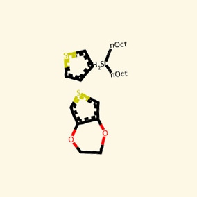 CCCCCCCC[SiH2]CCCCCCCC.c1ccsc1.c1scc2c1OCCO2